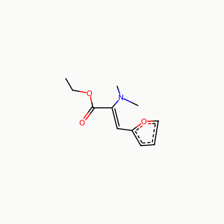 CCOC(=O)C(=Cc1ccco1)N(C)C